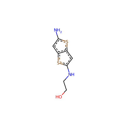 Nc1cc2sc(NCCO)cc2s1